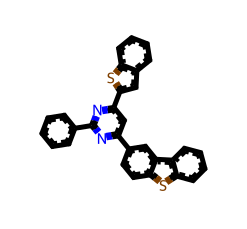 c1ccc(-c2nc(-c3ccc4sc5ccccc5c4c3)cc(-c3cc4ccccc4s3)n2)cc1